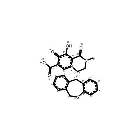 CN1C[C@H](C2c3ccccc3CSc3ccccc32)n2cc(C(=O)O)c(=O)c(O)c2C1=O